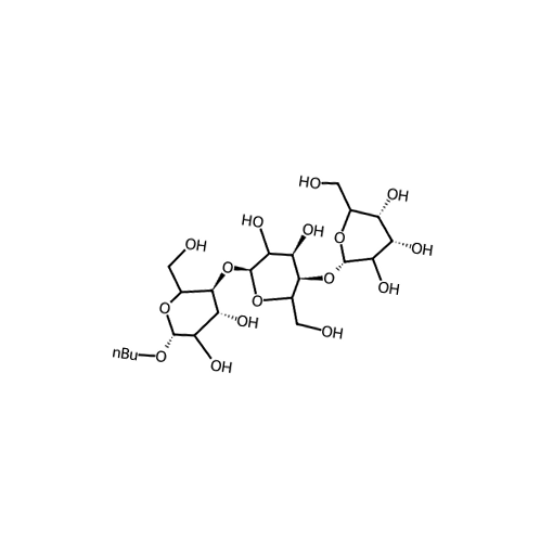 CCCCO[C@@H]1OC(CO)[C@@H](O[C@@H]2OC(CO)[C@H](O[C@@H]3OC(CO)[C@H](O)[C@H](O)C3O)[C@H](O)C2O)[C@H](O)C1O